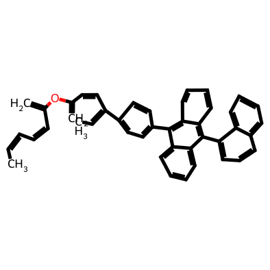 C=C(/C=C\C=C/C)OC(=C)/C=C\C(=C/C)c1ccc(-c2c3ccccc3c(-c3cccc4ccccc34)c3ccccc23)cc1